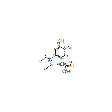 CCN(CC)c1cc(S)c(C)cc1Cl.O=CO